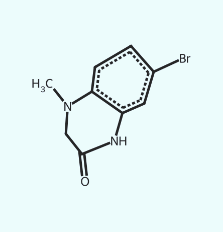 CN1CC(=O)Nc2cc(Br)ccc21